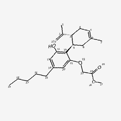 C=C(C)[C@@H]1CC=C(C)C[C@H]1c1c(O)cc(CCCCC)cc1OCC(=O)OC